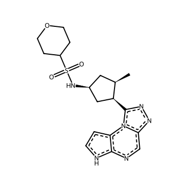 C[C@@H]1C[C@H](NS(=O)(=O)C2CCOCC2)C[C@@H]1c1nnc2cnc3[nH]ccc3n12